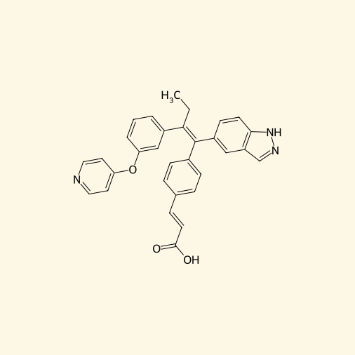 CC/C(=C(/c1ccc(/C=C/C(=O)O)cc1)c1ccc2[nH]ncc2c1)c1cccc(Oc2ccncc2)c1